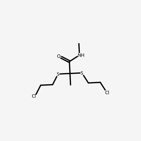 CNC(=O)C(C)(SCCCl)SCCCl